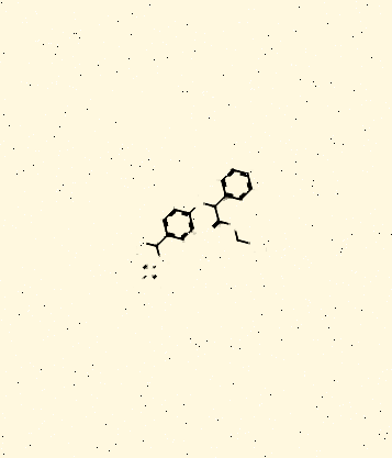 CCOC(=O)C(Oc1ccc(C(C)OS(C)(=O)=O)cc1)c1ccccc1